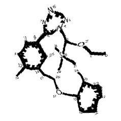 CCOC(n1nnnc1-c1ccc(C)c(CCOc2ccccc2C)c1)[Si](C)(C)C